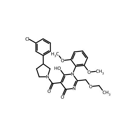 CCOCc1nc(=O)c(C(=O)N2CCC(c3cccc(Cl)c3)C2)c(O)n1-c1c(OC)cccc1OC